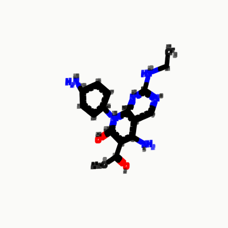 COC(=O)c1c(N)c2cnc(NCC(F)(F)F)nc2n(-c2ccc(N)cc2)c1=O